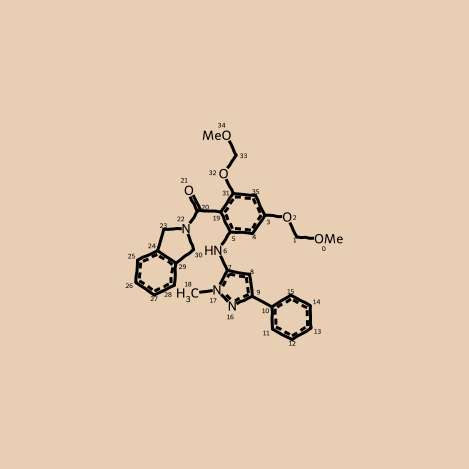 COCOc1cc(Nc2cc(-c3ccccc3)nn2C)c(C(=O)N2Cc3ccccc3C2)c(OCOC)c1